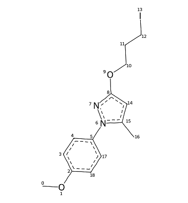 COc1ccc(-n2nc(OCCCI)cc2C)cc1